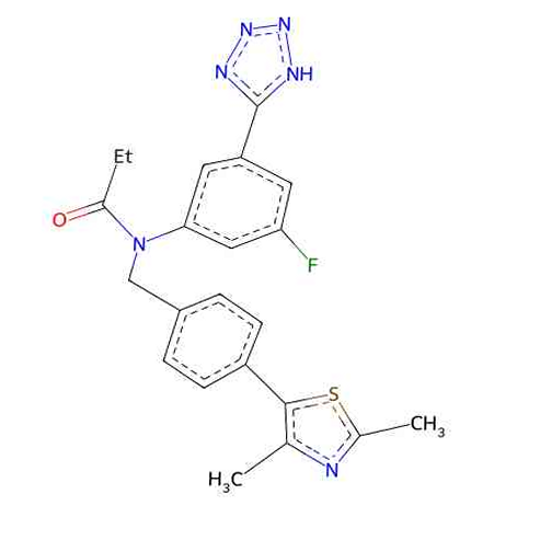 CCC(=O)N(Cc1ccc(-c2sc(C)nc2C)cc1)c1cc(F)cc(-c2nnn[nH]2)c1